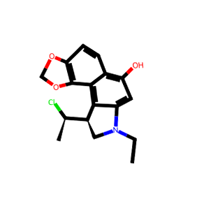 CCN1C[C@@H]([C@@H](C)Cl)c2c1cc(O)c1ccc3c(c21)OCO3